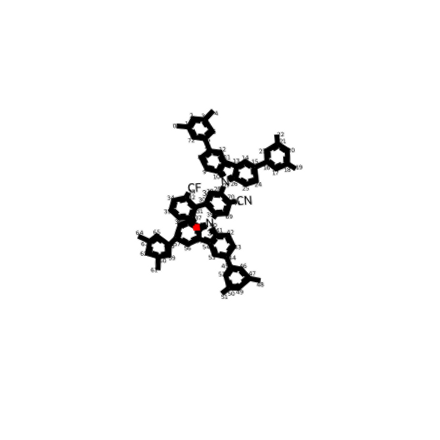 Cc1cc(C)cc(-c2ccc3c(c2)c2cc(-c4cc(C)cc(C)c4)ccc2n3-c2cc(-c3c(C(F)(F)F)cccc3C(F)(F)F)c(-n3c4ccc(-c5cc(C)cc(C)c5)cc4c4cc(-c5cc(C)cc(C)c5)ccc43)cc2C#N)c1